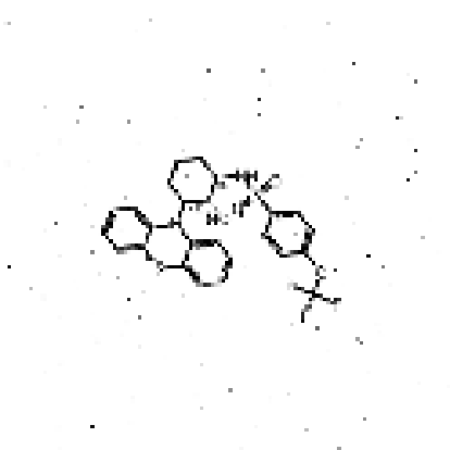 O=S(=O)(N[C@@H]1CCCC(N2c3ccccc3Sc3ccccc32)[C@H]1O)c1ccc(OC(F)(F)F)cc1